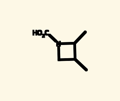 CC1CN(C(=O)O)C1C